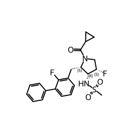 CS(=O)(=O)N[C@H]1[C@@H](F)CN(C(=O)C2CC2)[C@H]1Cc1cccc(-c2ccccc2)c1F